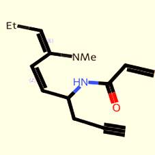 C#CCC(/C=C\C(=C/CC)NC)NC(=O)C=C